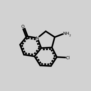 NC1Cn2c(=O)ccc3ccc(Cl)c1c32